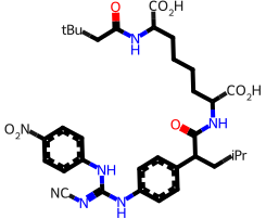 CC(C)CC(C(=O)NC(CCCCC(NC(=O)CC(C)(C)C)C(=O)O)C(=O)O)c1ccc(NC(=NC#N)Nc2ccc([N+](=O)[O-])cc2)cc1